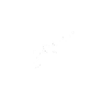 CC(C)[C@@H](NC(=O)c1cccc(-c2ccsc2)c1)C(=O)N1CCC(c2ccc(Cl)cc2)CC1